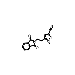 Cn1nc(C#N)cc1CCN1C(=O)c2ccccc2C1=O